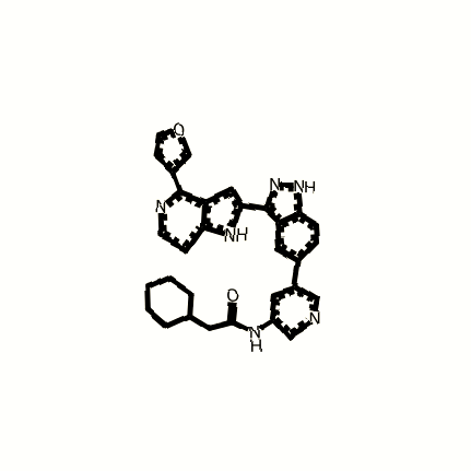 O=C(CC1CCCCC1)Nc1cncc(-c2ccc3[nH]nc(-c4cc5c(-c6ccoc6)nccc5[nH]4)c3c2)c1